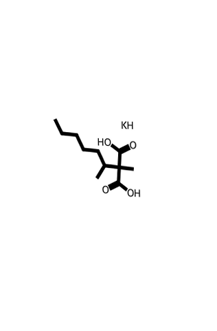 CCCCCC(C)C(C)(C(=O)O)C(=O)O.[KH]